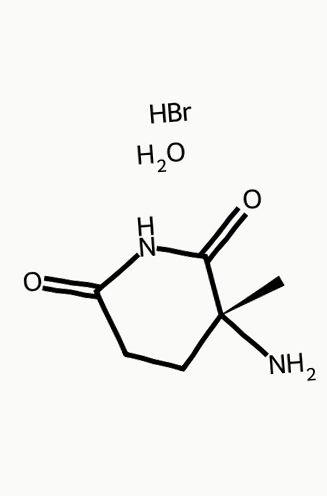 Br.C[C@@]1(N)CCC(=O)NC1=O.O